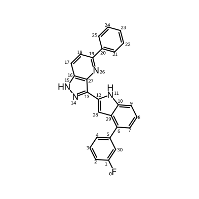 Fc1cccc(-c2cccc3[nH]c(-c4n[nH]c5ccc(-c6ccccc6)nc45)cc23)c1